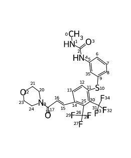 CNC(=O)Nc1cccc(Sc2ccc(C=CC(=O)N3CCOCC3)c(C(F)(F)F)c2C(F)(F)F)c1